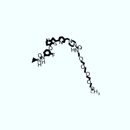 COCCOCCOCCOCCOCCNC(=O)N1CCN(Cc2ccc(-c3cc4nccc(Oc5ccc(NC(=O)NC6CC6)cc5F)c4s3)nc2)CC1